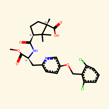 COC(=O)[C@H](Cc1ccc(OCc2c(Cl)cccc2Cl)cn1)NC(=O)[C@H]1CC[C@](C)(C(=O)O)C1(C)C